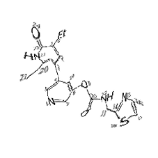 CCc1cc(-c2cncc(OC(=O)NCc3nccs3)c2)c(C)[nH]c1=O